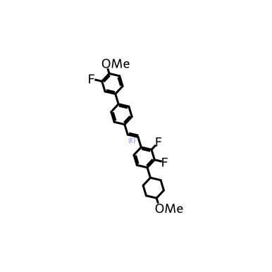 COc1ccc(-c2ccc(/C=C/c3ccc(C4CCC(OC)CC4)c(F)c3F)cc2)cc1F